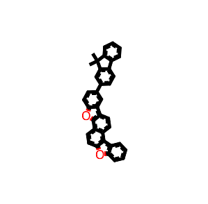 CC1(C)c2ccccc2-c2ccc(-c3ccc4oc5c(ccc6c5ccc5oc7ccccc7c56)c4c3)cc21